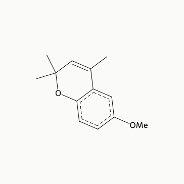 COc1ccc2c(c1)C(C)=CC(C)(C)O2